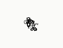 O=C(COCC1CCCCN1S(=O)(=O)c1c(Cl)cc(Cl)cc1Cl)NC1CCC(c2ccccc2)(N2CCCC2)CC1